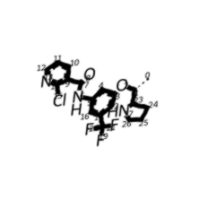 C[C@@H](Oc1cc(NC(=O)c2cccnc2Cl)cc(C(F)(F)F)c1)C1CCCN1